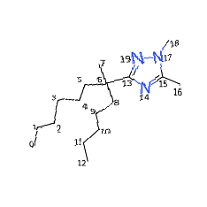 CCCCCCC(C)(CCCCC)c1nc(C)n(C)n1